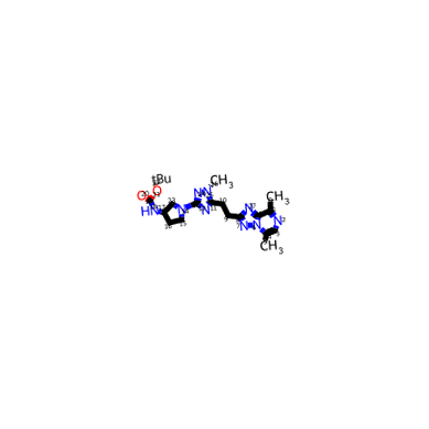 Cc1ncc(C)n2nc(CCc3nc(N4CCC(NC(=O)OC(C)(C)C)C4)nn3C)nc12